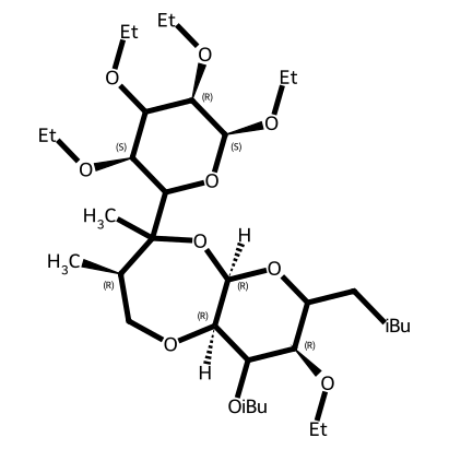 CCOC1[C@H](OCC)C(C2(C)O[C@H]3OC(CC(C)CC)[C@@H](OCC)C(OCC(C)C)[C@H]3OC[C@H]2C)O[C@H](OCC)[C@@H]1OCC